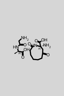 C[C@@H](NC(=O)CN)C(=O)O.N[C@]1(C(=O)O)CC(=O)CCCCCC(=O)N1